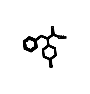 COC(=O)N(Cc1ccccc1)C1CCC(=O)CC1